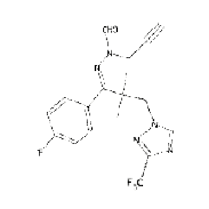 C#CCN(C=O)N=C(c1ccc(F)cc1)C(C)(C)Cn1cnc(C(F)(F)F)n1